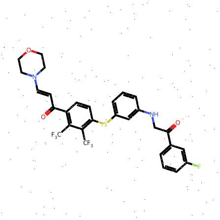 O=C(CNc1cccc(Sc2ccc(C(=O)C=CN3CCOCC3)c(C(F)(F)F)c2C(F)(F)F)c1)c1cccc(F)c1